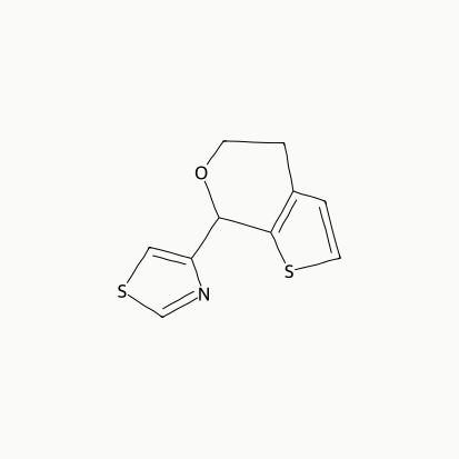 c1nc(C2OCCc3ccsc32)cs1